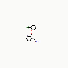 CNC(=O)Cc1cccc(I)c1COc1ccc(C)cc1C(F)(F)F